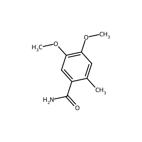 COc1cc(C)c(C(N)=O)cc1OC